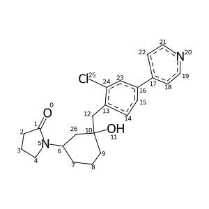 O=C1CCCN1C1CCCC(O)(Cc2ccc(-c3ccncc3)cc2Cl)C1